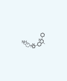 Cc1cc(-c2ccccc2)nc2cc(-c3ccn(C4CCC(CN)CC4)n3)ccc12